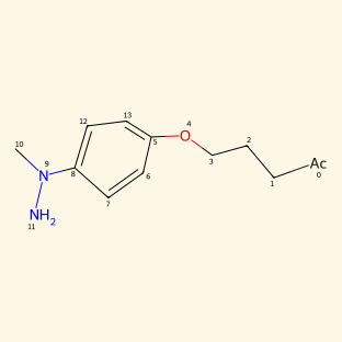 CC(=O)CCCOc1ccc(N(C)N)cc1